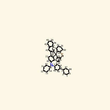 c1ccc(-c2ccc(N(c3ccccc3)c3ccc4c(c3)C3(c5ccccc5Sc5ccccc53)c3cc5ccccc5cc3-4)cc2)cc1